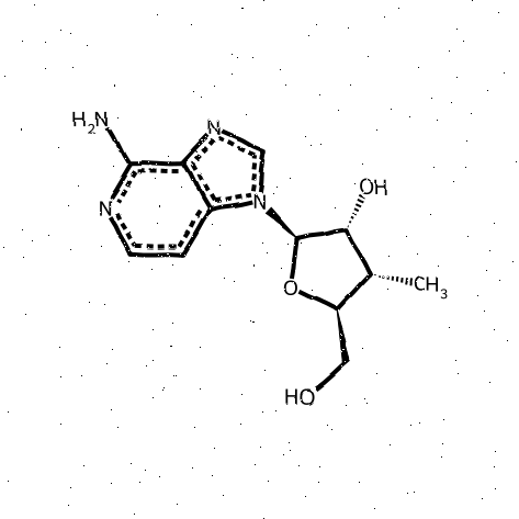 C[C@H]1[C@@H](O)[C@H](n2cnc3c(N)nccc32)O[C@@H]1CO